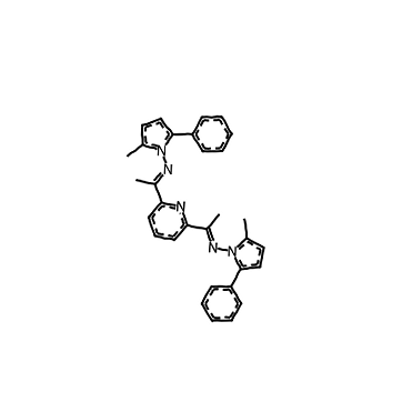 C/C(=N\n1c(C)ccc1-c1ccccc1)c1cccc(/C(C)=N/n2c(C)ccc2-c2ccccc2)n1